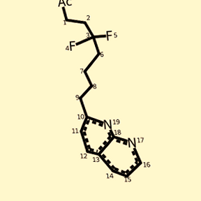 CC(=O)CCC(F)(F)CCCCc1ccc2cccnc2n1